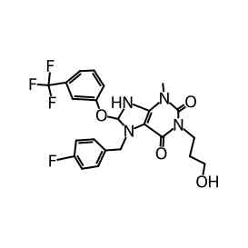 Cn1c2c(c(=O)n(CCCO)c1=O)N(Cc1ccc(F)cc1)C(Oc1cccc(C(F)(F)F)c1)N2